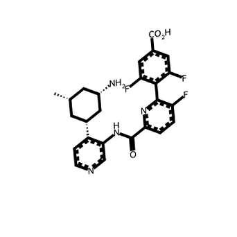 C[C@@H]1C[C@H](N)C[C@H](c2ccncc2NC(=O)c2ccc(F)c(-c3c(F)cc(C(=O)O)cc3F)n2)C1